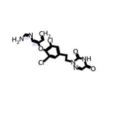 C=C/C(=C\N=C/N)Oc1c(Cl)cc(CCn2ncc(=O)[nH]c2=O)cc1Cl